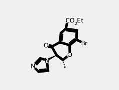 CCOC(=O)c1cc(Br)c2c(c1)C(=O)[C@H](n1ccnc1)[C@@H](C)O2